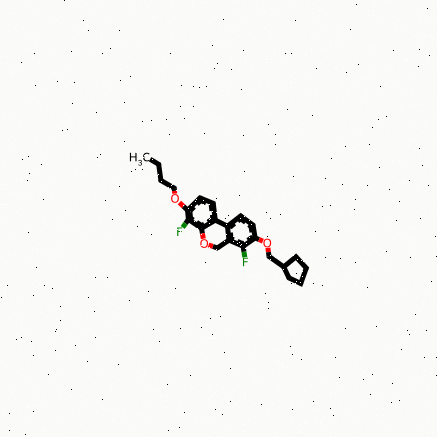 CCCCOc1ccc2c(c1F)OCc1c-2ccc(OCC2CCCC2)c1F